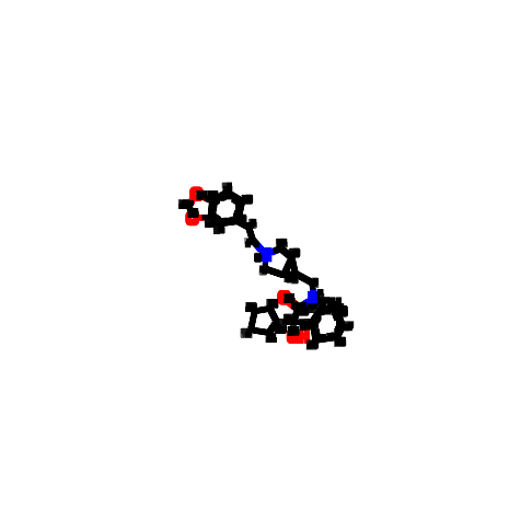 CN(CC1C2CN(CCc3ccc4c(c3)OCO4)CC21)C(=O)C(O)(c1ccccc1)C1CCCC1